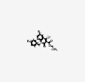 CCOC(=O)c1c(O)c2cc(Br)cnc2n(Cc2ccc(F)cc2)c1=O